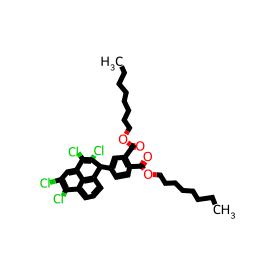 CCCCCCCCOC(=O)c1ccc(C2C(Cl)=C(Cl)c3cc(Cl)c(Cl)c4cccc2c34)cc1C(=O)OCCCCCCCC